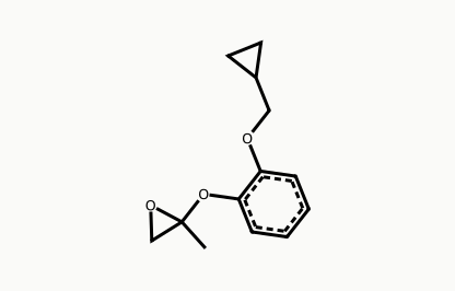 CC1(Oc2ccccc2OCC2CC2)CO1